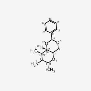 C[C@@H]1C(N)[C@@H](C)OC2COC(c3ccccc3)O[C@H]21